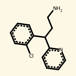 NCCC(c1ccccn1)c1ccccc1Cl